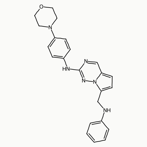 c1ccc(NCc2ccc3cnc(Nc4ccc(N5CCOCC5)cc4)nn23)cc1